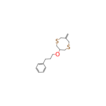 C=C1CSCC(OCCCc2ccccc2)CSC1